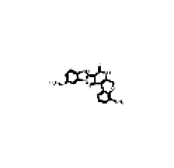 COc1ccc2[nH]c3c4c(=O)[nH]c5c(c4nn3c2c1)-c1cccc(N)c1OC5